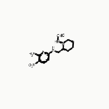 Nc1nc(NCC2CCCCN2BC=O)ccc1[N+](=O)[O-]